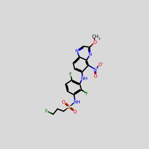 COc1cnc2ccc(Nc3c(F)ccc(NS(=O)(=O)CCCF)c3F)c([N+](=O)[O-])c2n1